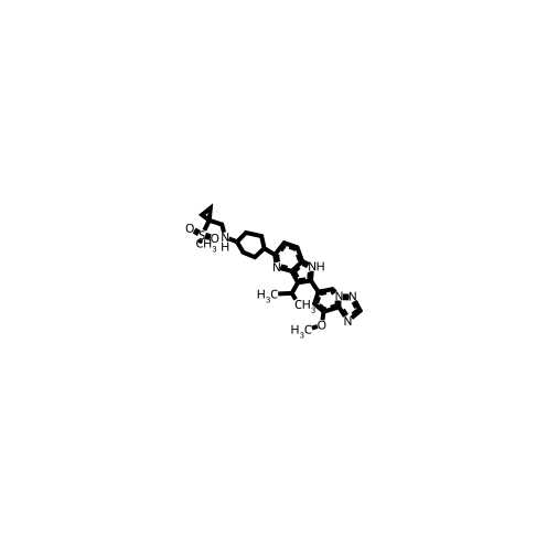 COc1cc(-c2[nH]c3ccc(C4CCC(NCC5(S(C)(=O)=O)CC5)CC4)nc3c2C(C)C)cn2ncnc12